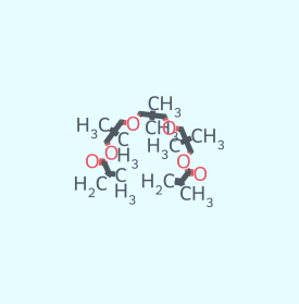 C=C(C)C(=O)OCC(C)(C)COCC(C)(C)COCC(C)(C)COC(=O)C(=C)C